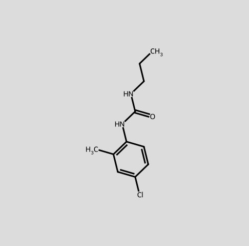 CCCNC(=O)Nc1ccc(Cl)cc1C